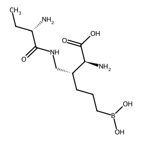 CC[C@H](N)C(=O)NC[C@@H](CCCB(O)O)[C@H](N)C(=O)O